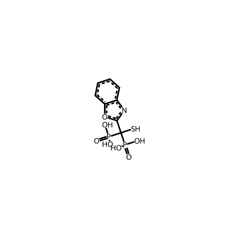 O=P(O)(O)C(S)(c1nc2ccccc2o1)P(=O)(O)O